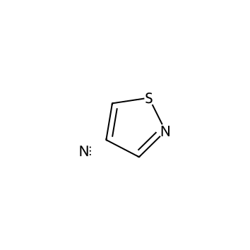 [N].c1cnsc1